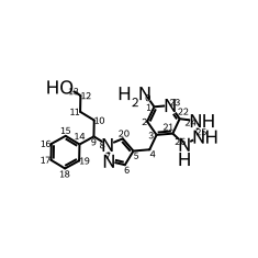 Nc1cc(Cc2cnn(C(CCCO)c3ccccc3)c2)c2c(n1)NNN2